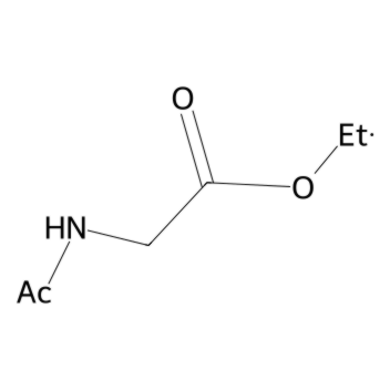 C[CH]OC(=O)CNC(C)=O